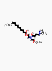 CCCCCCCC/C=C\CCCCCCCC(=O)OCCN(CCOC=O)C(=O)CCCN(C)C